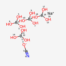 N#C[O-].OB(O)O.OB(O)O.OB(O)O.OB(O)O.[Na+]